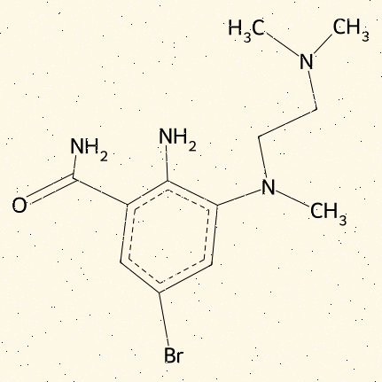 CN(C)CCN(C)c1cc(Br)cc(C(N)=O)c1N